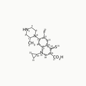 CC1CNCCN1c1cc2c(cc1F)c(=S)c(C(=O)O)cn2C1CC1